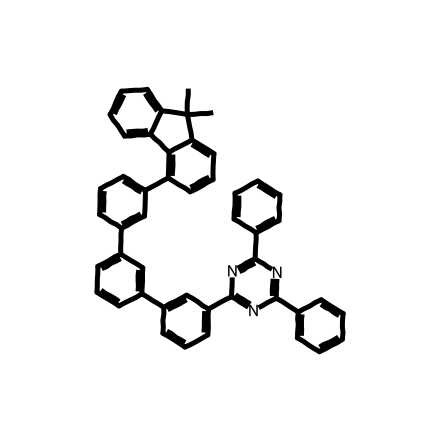 CC1(C)c2ccccc2-c2c(-c3cccc(-c4cccc(-c5cccc(-c6nc(-c7ccccc7)nc(-c7ccccc7)n6)c5)c4)c3)cccc21